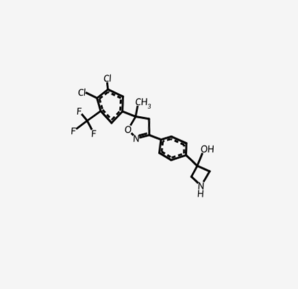 CC1(c2cc(Cl)c(Cl)c(C(F)(F)F)c2)CC(c2ccc(C3(O)CNC3)cc2)=NO1